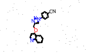 N#Cc1ccc(-n2cc(COc3ccnc4ccccc34)nn2)cc1